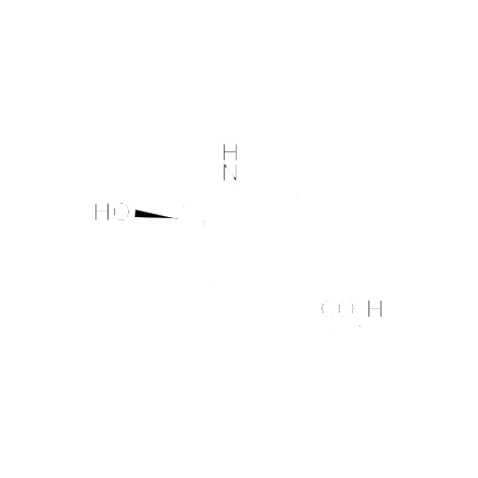 O=C(O)C1CN[C@H](O)C1